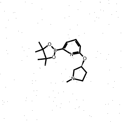 CN1CC[C@H](Oc2cccc(B3OC(C)(C)C(C)(C)O3)n2)C1